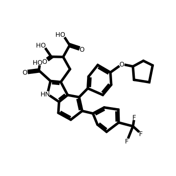 O=C(O)c1[nH]c2ccc(-c3ccc(C(F)(F)F)cc3)c(-c3ccc(OC4CCCC4)cc3)c2c1CC(C(=O)O)C(=O)O